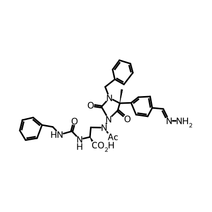 CC(=O)N(C[C@H](NC(=O)NCc1ccccc1)C(=O)O)N1C(=O)N(Cc2ccccc2)[C@](C)(c2ccc(C=NN)cc2)C1=O